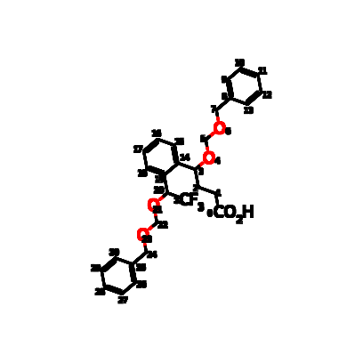 O=C(O)CCC(OCOCc1ccccc1)c1ccccc1C(OCOCc1ccccc1)C(F)(F)F